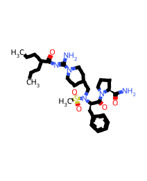 CCCC(CCC)C(=O)N=C(N)N1CCC(CN([C@H](Cc2ccccc2)C(=O)N2CCC[C@H]2C(N)=O)S(C)(=O)=O)CC1